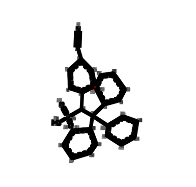 N#Cc1ccc(C(C(c2ccccc2)(c2ccccc2)c2ccccc2)S(=O)(=O)O)cc1